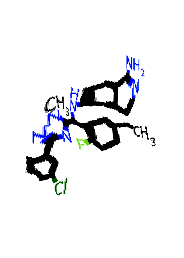 CCc1ccc(F)c(C(Nc2ccc3c(N)nccc3c2)c2nc(-c3cccc(Cl)c3)nn2C)c1